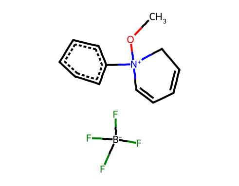 CO[N+]1(c2ccccc2)C=CC=CC1.F[B-](F)(F)F